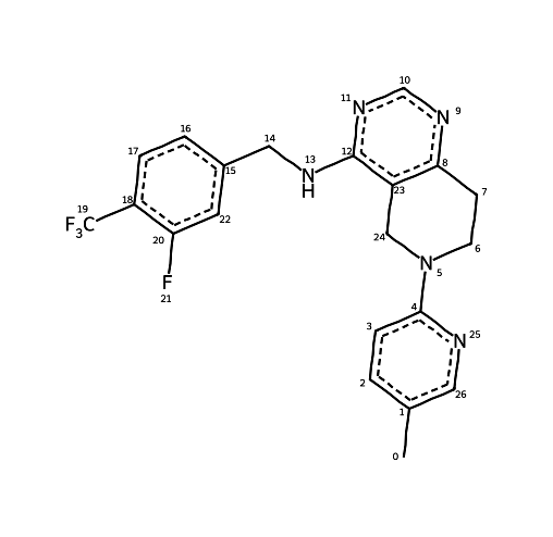 Cc1ccc(N2CCc3ncnc(NCc4ccc(C(F)(F)F)c(F)c4)c3C2)nc1